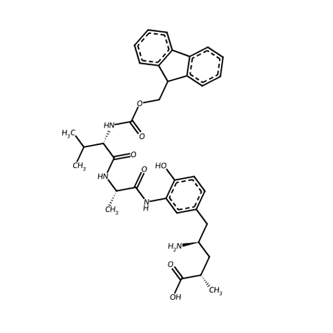 CC(C)[C@H](NC(=O)OCC1c2ccccc2-c2ccccc21)C(=O)N[C@@H](C)C(=O)Nc1cc(C[C@H](N)C[C@H](C)C(=O)O)ccc1O